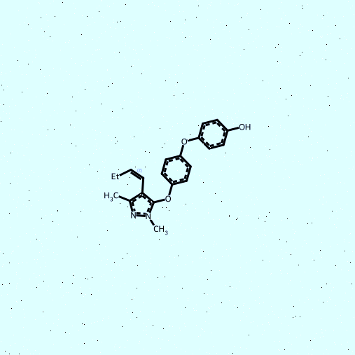 CC/C=C\c1c(C)nn(C)c1Oc1ccc(Oc2ccc(O)cc2)cc1